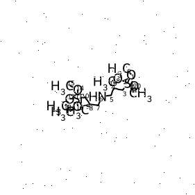 CO[Si](CCCNCC(C)C[Si](OC)(OC)OC)(OC)OC